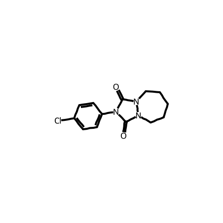 O=c1n(-c2ccc(Cl)cc2)c(=O)n2n1CCCCC2